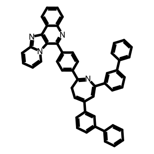 C1=C(c2cccc(-c3ccccc3)c2)C=C(c2cccc(-c3ccccc3)c2)N=C(c2ccc(-c3nc4ccccc4c4nc5ccccn5c34)cc2)C1